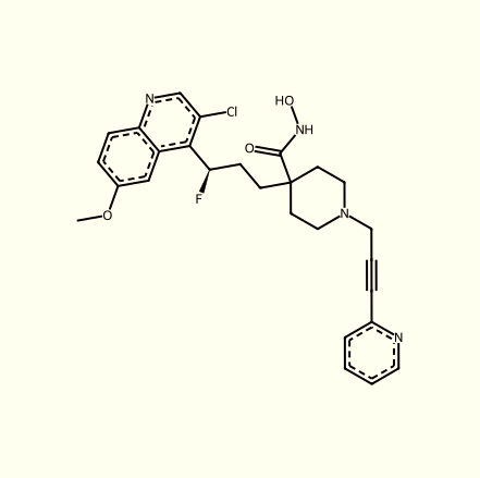 COc1ccc2ncc(Cl)c([C@H](F)CCC3(C(=O)NO)CCN(CC#Cc4ccccn4)CC3)c2c1